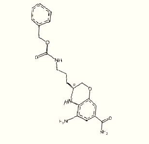 NC(=O)c1cc(N)c2c(c1)OC[C@H](CCCNC(=O)OCc1ccccc1)N2